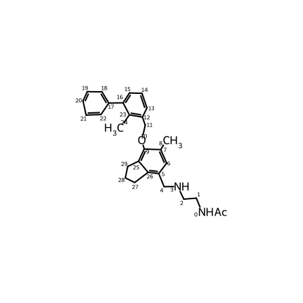 CC(=O)NCCNCc1cc(C)c(OCc2cccc(-c3ccccc3)c2C)c2c1CCC2